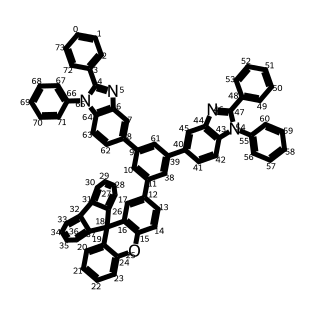 c1ccc(-c2nc3cc(-c4cc(-c5ccc6c(c5)C5(c7ccccc7O6)c6ccccc6-c6ccccc65)cc(-c5ccc6c(c5)nc(-c5ccccc5)n6-c5ccccc5)c4)ccc3n2-c2ccccc2)cc1